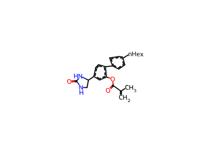 C=C(C)C(=O)Oc1cc(C2CNC(=O)N2)ccc1-c1ccc(CCCCCC)cc1